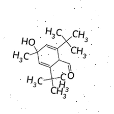 CC1(O)C=C(C(C)(C)C)C(C=O)C(C(C)(C)C)=C1